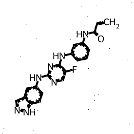 C=CC(=O)Nc1cccc(Nc2nc(Nc3ccc4[nH]ncc4c3)ncc2F)c1